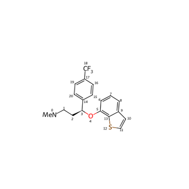 CNCC[C@H](Oc1cccc2ccsc12)c1ccc(C(F)(F)F)cc1